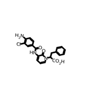 Nc1ccc(C(=O)Nc2cccn(C(Cc3ccccc3)C(=O)O)c2=O)cc1Cl